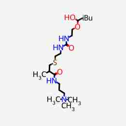 CCC(C)C(O)OCCNC(=O)NCCSCC(C)C(=O)NCCC[N+](C)(C)C